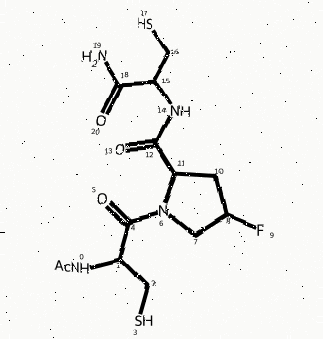 CC(=O)NC(CS)C(=O)N1CC(F)CC1C(=O)NC(CS)C(N)=O